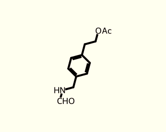 CC(=O)OCCc1ccc(CNC=O)cc1